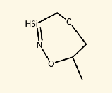 CC1CCC[SiH]=NO1